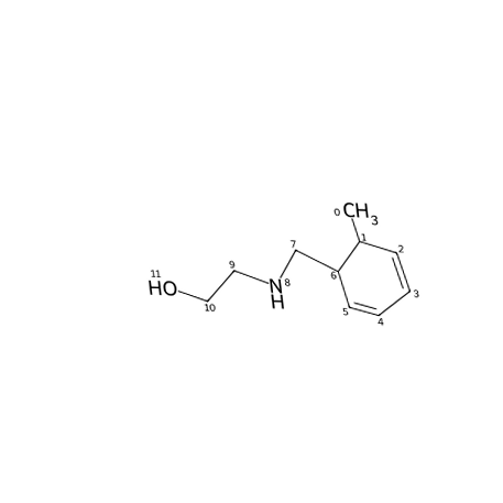 CC1C=CC=CC1CNCCO